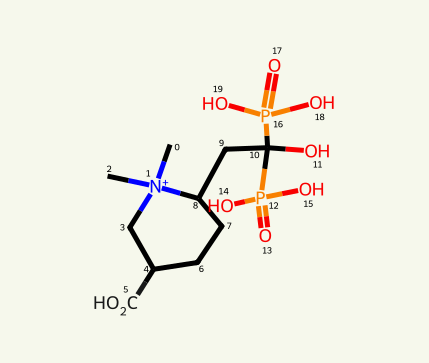 C[N+]1(C)CC(C(=O)O)CCC1CC(O)(P(=O)(O)O)P(=O)(O)O